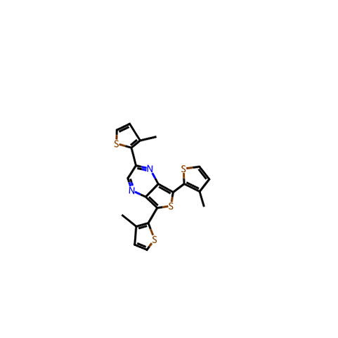 Cc1ccsc1-c1cnc2c(-c3sccc3C)sc(-c3sccc3C)c2n1